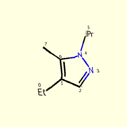 CCc1[c]nn(C(C)C)c1C